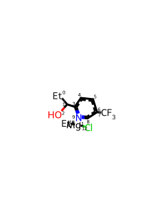 CCC(O)c1ccc(C(F)(F)F)cn1.C[CH2][Mg][Cl]